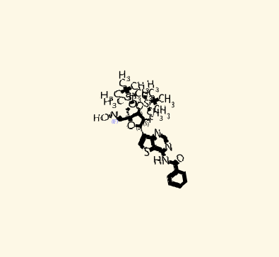 CC(C)(C)[Si](C)(C)OC[C@@]1(/C=N/O)O[C@@H](c2csc3c(NC(=O)c4ccccc4)ncnc23)[C@H](F)[C@@H]1O[Si](C)(C)C(C)(C)C